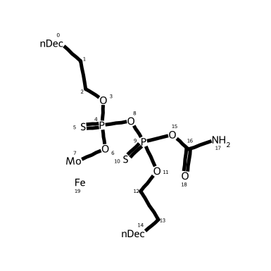 CCCCCCCCCCCCOP(=S)([O][Mo])OP(=S)(OCCCCCCCCCCCC)OC(N)=O.[Fe]